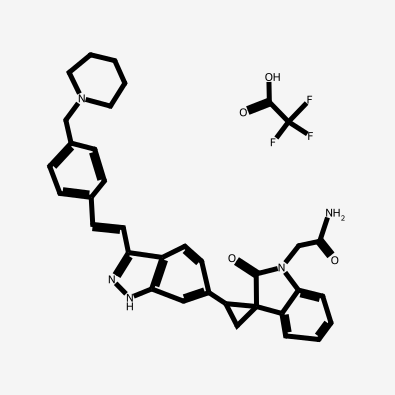 NC(=O)CN1C(=O)C2(CC2c2ccc3c(/C=C/c4ccc(CN5CCCCC5)cc4)n[nH]c3c2)c2ccccc21.O=C(O)C(F)(F)F